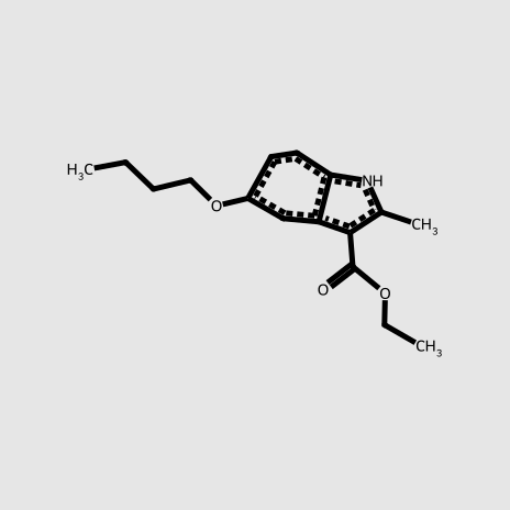 CCCCOc1ccc2[nH]c(C)c(C(=O)OCC)c2c1